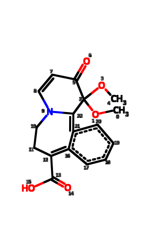 COC1(OC)C(=O)C=CN2CCC(C(=O)O)=c3ccccc3=C21